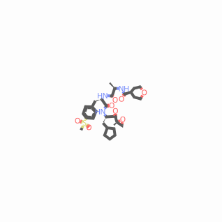 C[C@@H](NC(=O)C1CCOCC1)C(=O)N[C@@H](Cc1ccc(S(C)(=O)=O)cc1)C(=O)N[C@@H](CC1CCCC1)C(=O)[C@@]1(C)CO1